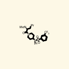 CN[C@@H](CC(C)C)C(=O)N1CCC(N(C(C)C)S(=O)(=O)c2cccc(C(F)(F)F)c2)CC1